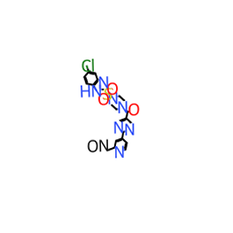 O=NCc1cc(-c2ncc(C(=O)N3CCN(S(=O)(=O)c4nc5cc(Cl)ccc5[nH]4)CC3)cn2)ccn1